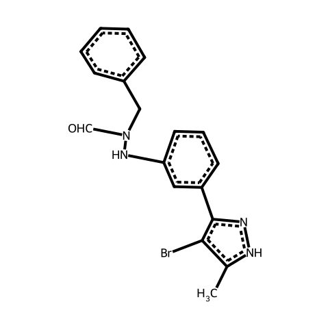 Cc1[nH]nc(-c2cccc(NN(C=O)Cc3ccccc3)c2)c1Br